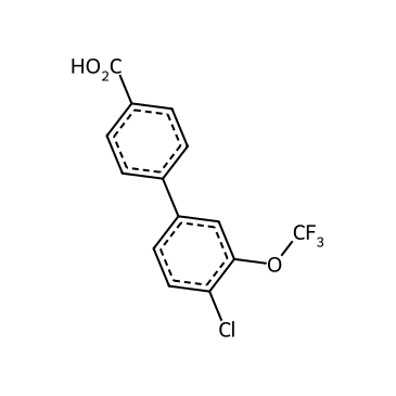 O=C(O)c1ccc(-c2ccc(Cl)c(OC(F)(F)F)c2)cc1